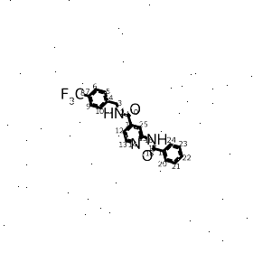 O=C(NCc1ccc(C(F)(F)F)cc1)c1ccnc(NC(=O)c2ccccc2)c1